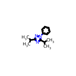 CC(C)c1nc(C(C)C)n(-c2ccccc2)n1